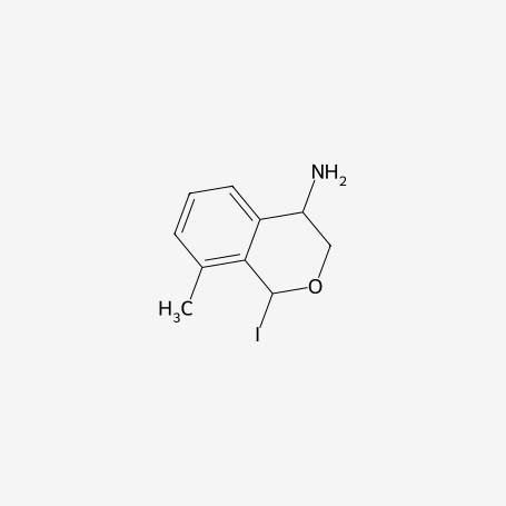 Cc1cccc2c1C(I)OCC2N